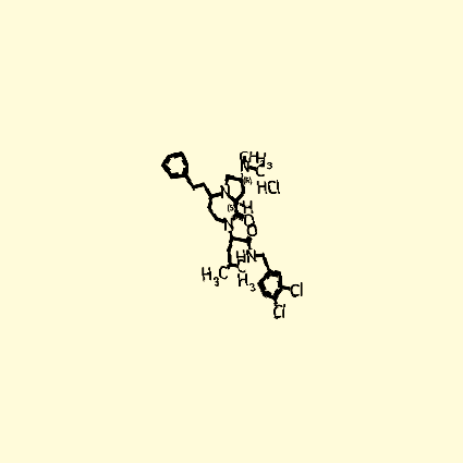 CC(C)CC(C(=O)NCc1ccc(Cl)c(Cl)c1)N1CCC(CCc2ccccc2)N2C[C@H](N(C)C)C[C@H]2C1=O.Cl